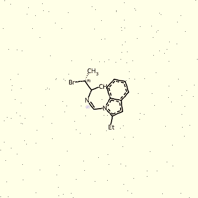 CCc1cc2ccccc2n1/C=N\C(C)[C@@H](C)Br